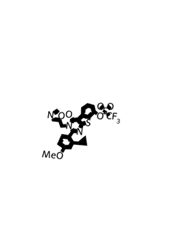 COc1ccc(-c2nc3sc4c(OS(=O)(=O)C(F)(F)F)cccc4c3c(=O)n2Cc2cnco2)c(C2CC2)c1